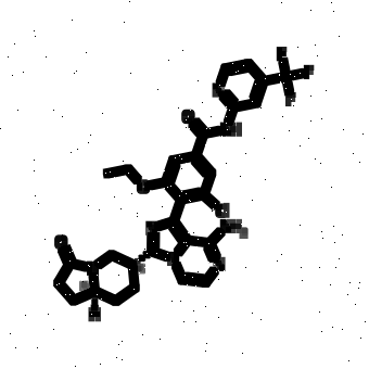 CCOc1cc(C(=O)Nc2cc(C(F)(F)F)ccn2)cc(Cl)c1-c1nc([C@@H]2CC[C@H]3CCC(=O)N3C2)n2ccnc(N)c12